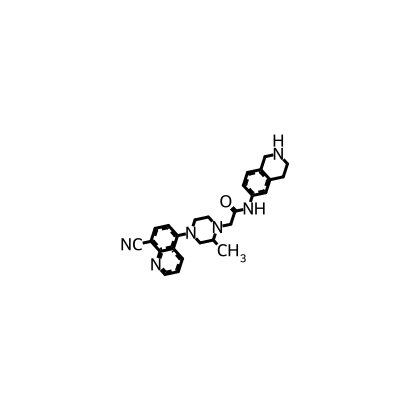 CC1CN(c2ccc(C#N)c3ncccc23)CCN1CC(=O)Nc1ccc2c(c1)CCNC2